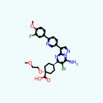 COCCO[C@]1(C(=O)O)CC[C@@H](c2nc3c(-c4ccc(-c5ccc(OC)c(F)c5)nc4)cnn3c(N)c2Br)CC1